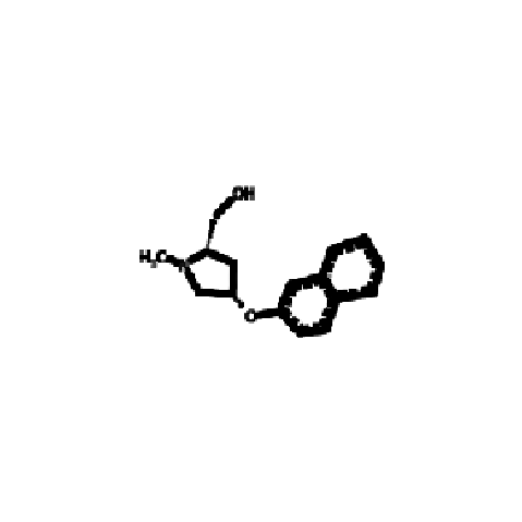 CN1C[C@@H](Oc2ccc3ccccc3c2)C[C@H]1CO